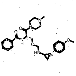 COc1ccc([C@@H]2CC2NCOC[C@H](NC(=O)c2ccccc2)C(=O)N2CCN(C)CC2)cc1